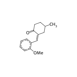 COc1ccccc1C=C1CC(C)CCC1=O